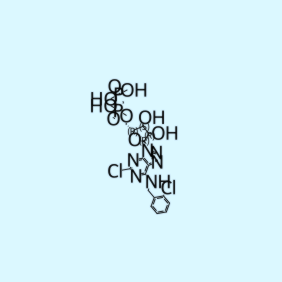 O=P(O)(O)CP(=O)(O)OC[C@H]1O[C@@H](n2nnc3c(NCc4ccccc4Cl)nc(Cl)nc32)[C@H](O)[C@@H]1O